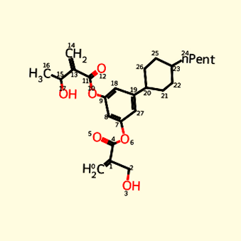 C=C(CO)C(=O)Oc1cc(OC(=O)C(=C)C(C)O)cc(C2CCC(CCCCC)CC2)c1